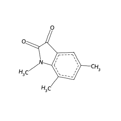 Cc1cc(C)c2c(c1)C(=O)C(=O)N2C